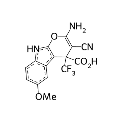 COc1ccc2[nH]c3c(c2c1)C(C(=O)O)(C(F)(F)F)C(C#N)=C(N)O3